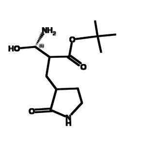 CC(C)(C)OC(=O)C(CC1CCNC1=O)[C@@H](N)O